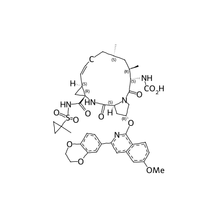 COc1ccc2c(O[C@@H]3C[C@H]4C(=O)N[C@]5(C(=O)NS(=O)(=O)C6(C)CC6)C[C@H]5C=CCC[C@H](C)C[C@@H](C)[C@H](NC(=O)O)C(=O)N4C3)nc(-c3ccc4c(c3)OCCO4)cc2c1